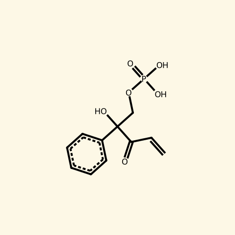 C=CC(=O)C(O)(COP(=O)(O)O)c1ccccc1